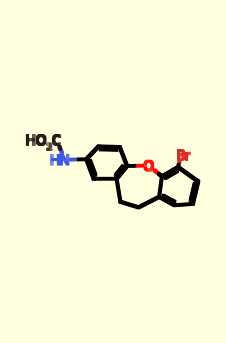 O=C(O)Nc1ccc2c(c1)CCc1cccc(Br)c1O2